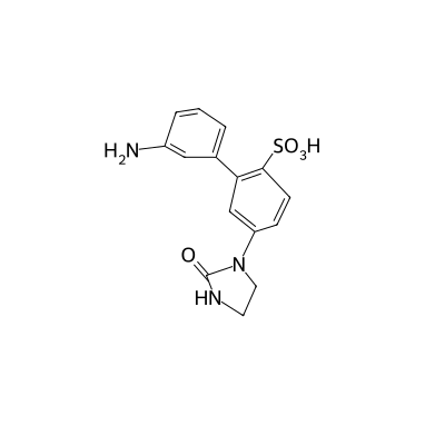 Nc1cccc(-c2cc(N3CCNC3=O)ccc2S(=O)(=O)O)c1